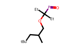 CCC(CC)(OCC(C)CC(C)(C)C)P=O